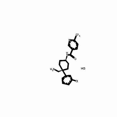 Cl.NC[C@]1(c2cccc(Cl)c2)CC[C@H](NC(=O)c2ccc(C(F)(F)F)nc2)CC1